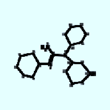 NC(=NC1CCCCC1)N(C1CCCCC1)C1CCCNC1